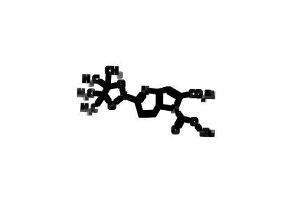 CCOC(=O)c1cc2nc(B3OC(C)(C)C(C)(C)O3)ccc2n1C(=O)OC(C)(C)C